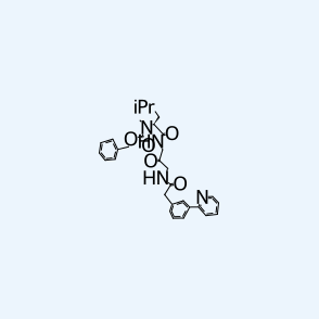 CC(C)C[C@@H](C(=O)NCC(=O)CNC(=O)Cc1cccc(-c2ccccn2)c1)N(C)C(=O)OCc1ccccc1